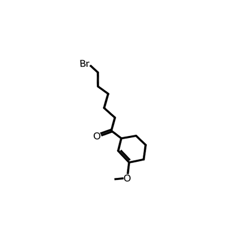 COC1=CC(C(=O)CCCCCBr)CCC1